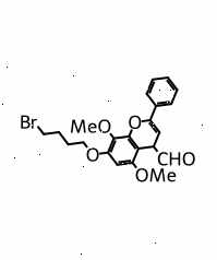 COc1cc(OCCCCBr)c(OC)c2c1C(C=O)C=C(c1ccccc1)O2